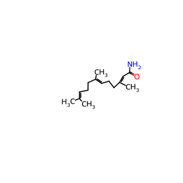 CC(C)=CCCC(C)=CCCC(C)=CC(N)=O